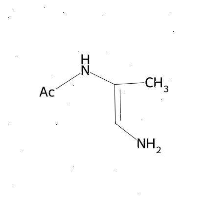 CC(=O)NC(C)=CN